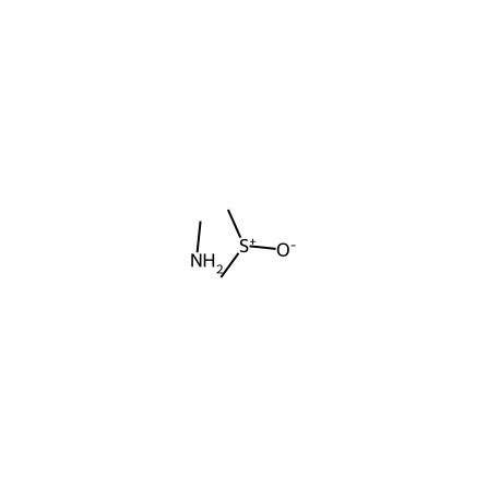 CN.C[S+](C)[O-]